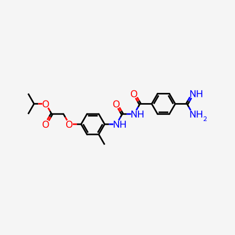 Cc1cc(OCC(=O)OC(C)C)ccc1NC(=O)NC(=O)c1ccc(C(=N)N)cc1